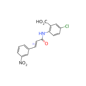 O=C(/C=C/c1cccc([N+](=O)[O-])c1)Nc1ccc(Cl)cc1C(=O)O